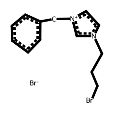 BrCCCn1cc[n+](Cc2ccccc2)c1.[Br-]